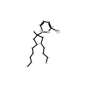 CCCCCCCC(C)(CCCCCC)N1C=CC=C(N)S1